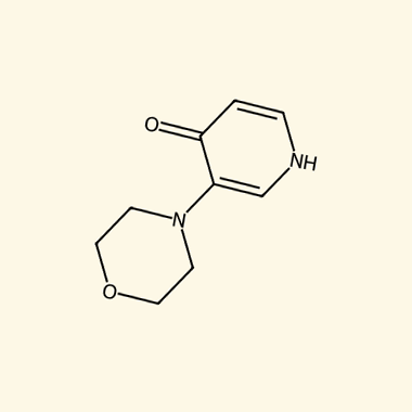 O=c1cc[nH]cc1N1CCOCC1